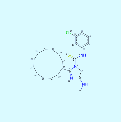 CNC1CN(C(=S)Nc2cccc(Cl)c2)C(C2CCCCCCCCCCC2)=N1